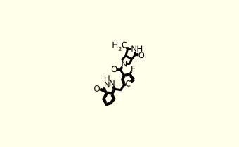 C=C1NC(=O)C2CN(C(=O)c3cc(Cc4n[nH]c(=O)c5ccccc45)ccc3F)CC12